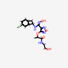 CC(Oc1nonc1/C(=N\O)NC1Cc2ccc(F)cc21)C(=O)NCCO